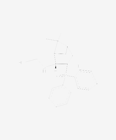 CC1(C)C2CC1[C@@H](BCO)[C@H](P(=O)(c1ccccc1)c1ccccc1)C2